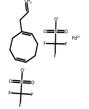 C=CC/C1=C/CC/C=C\CC1.O=S(=O)([O-])C(F)(F)F.O=S(=O)([O-])C(F)(F)F.[Pd+2]